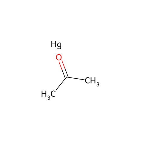 CC(C)=O.[Hg]